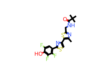 Cc1nc(CNC(=O)C(C)(C)C)sc1-c1csc(-c2cc(F)c(O)c(F)c2F)n1